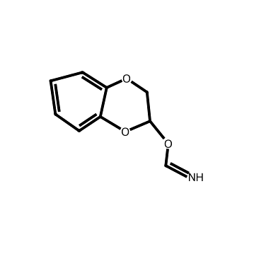 N=COC1COc2ccccc2O1